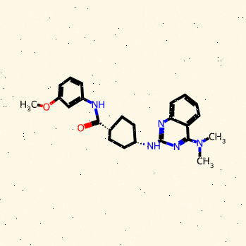 COc1cccc(NC(=O)[C@H]2CC[C@@H](Nc3nc(N(C)C)c4ccccc4n3)CC2)c1